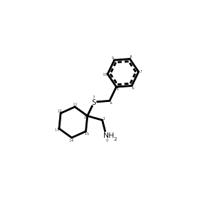 NCC1(SCc2ccccc2)CCCCC1